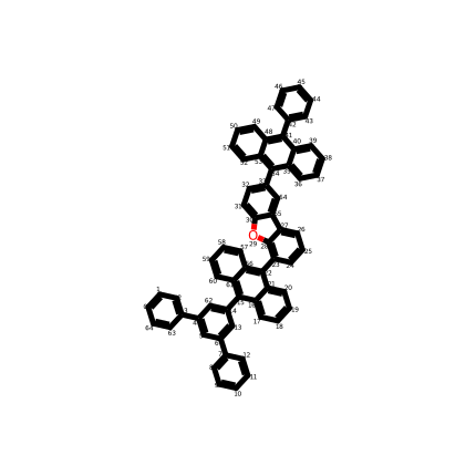 c1ccc(-c2cc(-c3ccccc3)cc(-c3c4ccccc4c(-c4cccc5c4oc4ccc(-c6c7ccccc7c(-c7ccccc7)c7ccccc67)cc45)c4ccccc34)c2)cc1